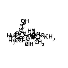 CCOc1cc(C)c2nn(CC(=O)c3cc(OCCCO)c(OC)c(C(C)(C)C)c3)c(=N)n2n1.Cl